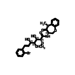 CO[C@@H](C(=O)N[C@H]1COc2ccccc2N(C)C1=O)[C@H](O)[C@@H](O)[C@H](O)C=Cc1ccccc1Br